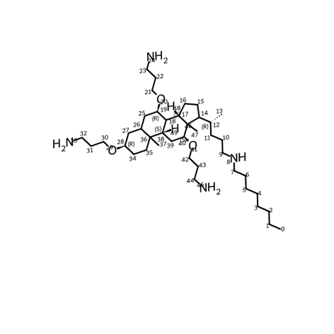 CCCCCCCCNCCC[C@@H](C)C1CC[C@H]2C3[C@H](OCCCN)CC4C[C@H](OCCCN)CCC4(C)[C@H]3C[C@H](OCCCN)C12C